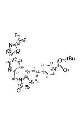 CC(C)(C)OC(=O)N1CC=C(c2ccc3c(c2)sc(=O)n3Cc2ccc(-c3nnc(C(F)F)o3)cn2)CC1